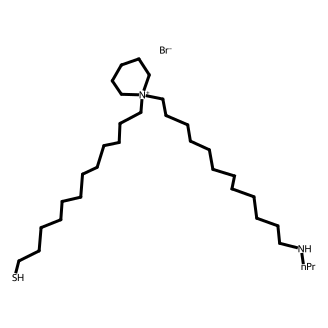 CCCNCCCCCCCCCCCC[N+]1(CCCCCCCCCCCCS)CCCCC1.[Br-]